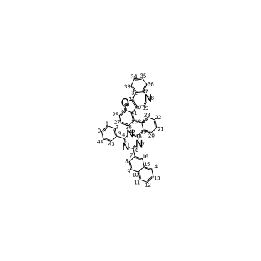 c1ccc(-c2nc(-c3ccc4ccccc4c3)nc(-c3ccccc3-c3cccc4oc5c6ccccc6ncc5c34)n2)cc1